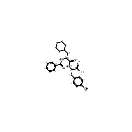 O=C(N[C@@H](CC1CCCCC1)C(=O)N[C@@H](Cc1ccc(O)cc1)C(=O)O)c1ccccc1